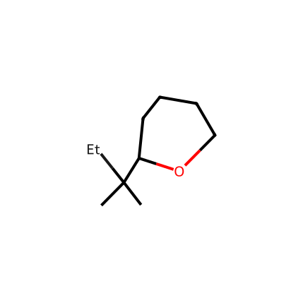 CCC(C)(C)C1CCCCO1